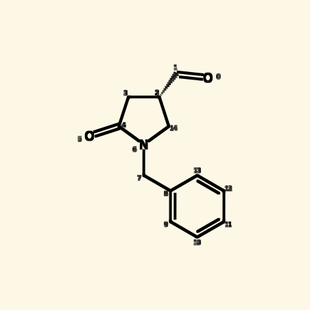 O=C[C@H]1CC(=O)N(Cc2ccccc2)C1